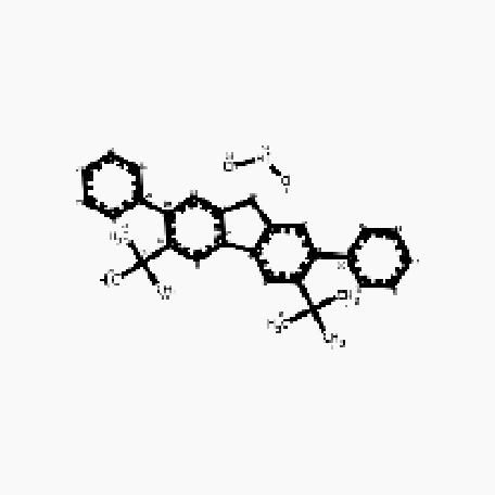 CC(C)(C)c1cc2c(cc1-c1ccccc1)[CH]c1cc(-c3ccccc3)c(C(C)(C)C)cc1-2.[Cl][Hf][Cl]